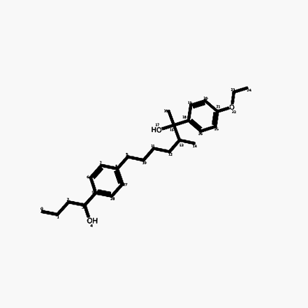 CCCC(O)c1ccc(CCCCC(C)C(C)(O)c2ccc(OCC)cc2)cc1